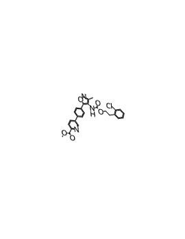 COC(=O)c1ccc(-c2ccc(-c3onc(C)c3NC(=O)OCCc3ccccc3Cl)cc2)cn1